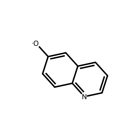 [O]c1ccc2ncccc2c1